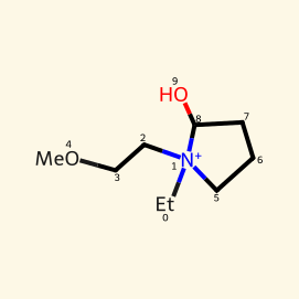 CC[N+]1(CCOC)CCCC1O